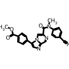 COC(=O)c1ccc(-c2cnc3cnc(C(=O)N(C)c4ccc(C#N)cc4)cn23)cc1